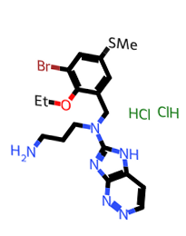 CCOc1c(Br)cc(SC)cc1CN(CCCN)c1nc2nnccc2[nH]1.Cl.Cl